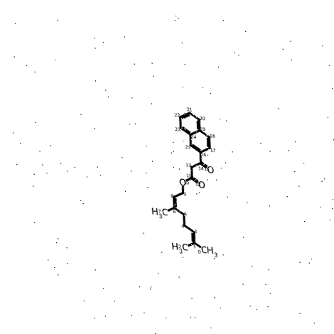 CC(C)=CCCC(C)=CCOC(=O)CC(=O)c1ccc2ccccc2c1